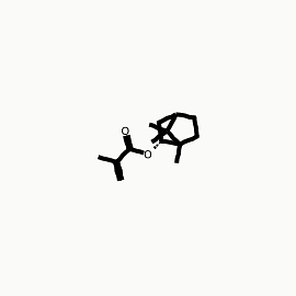 C=C(C)C(=O)O[C@@H]1CC2CCC1(C)C2(C)C